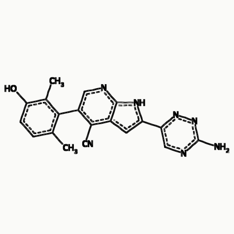 Cc1ccc(O)c(C)c1-c1cnc2[nH]c(-c3cnc(N)nn3)cc2c1C#N